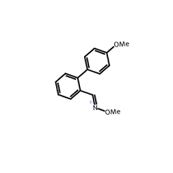 CO/N=C/c1ccccc1-c1ccc(OC)cc1